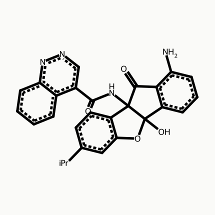 CC(C)c1ccc2c(c1)OC1(O)c3cccc(N)c3C(=O)C21NC(=O)c1cnnc2ccccc12